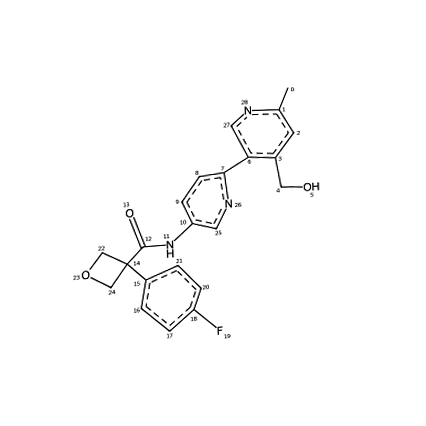 Cc1cc(CO)c(-c2ccc(NC(=O)C3(c4ccc(F)cc4)COC3)cn2)cn1